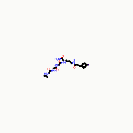 CC(C)NCC(=O)NCC(=O)NCC(=O)N[C@@H](CCCCNC(=O)CCc1ccc(I)cc1)C(N)=O